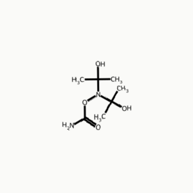 CC(C)(O)N(OC(N)=O)C(C)(C)O